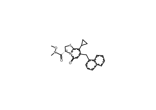 CON(C)C(=O)[C@@H]1CSc2c(C3CC3)c(Cc3cccc4ccccc34)cc(=O)n21